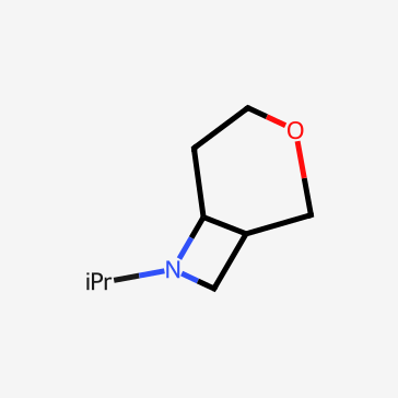 CC(C)N1CC2COCCC21